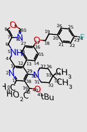 Cc1nc(CNCc2cocn2)c(-c2ccc(OCCc3ccc(F)cc3)cc2)c(N2CCC(C)(C)CC2)c1C(OC(C)(C)C)C(=O)O